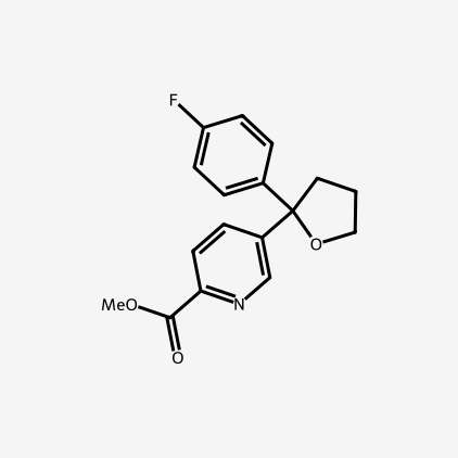 COC(=O)c1ccc(C2(c3ccc(F)cc3)CCCO2)cn1